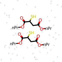 CCCOC(=O)CC(S)C(=O)OCCC.CCCOC(=O)CC(S)C(=O)OCCC